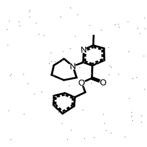 Cc1ccc(C(=O)OCc2ccccc2)c(N2CCCCC2)n1